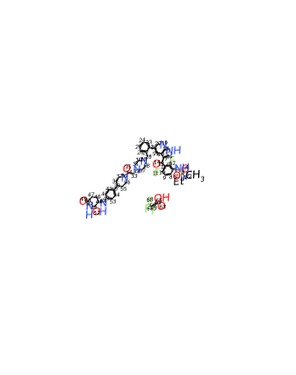 CCN(C)S(=O)(=O)Nc1ccc(F)c(C(=O)c2c[nH]c3ncc(-c4ccccc4CN4CCN(CC(=O)N5CCC(c6ccc(NC7CCC(=O)NC7=O)cc6)CC5)CC4)cc23)c1F.O=C(O)C(F)(F)F